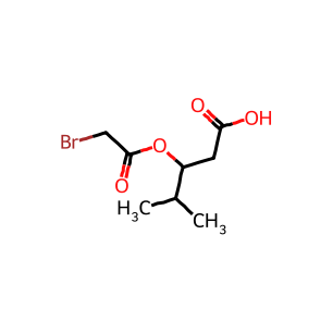 CC(C)C(CC(=O)O)OC(=O)CBr